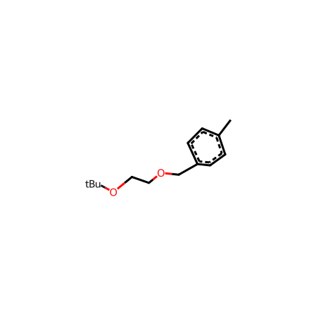 Cc1ccc(COCCOC(C)(C)C)cc1